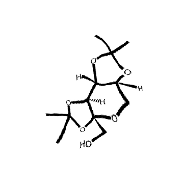 CC1(C)O[C@@H]2[C@@H](CO[C@]3(CO)OC(C)(C)O[C@@H]23)O1